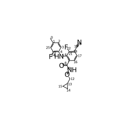 Cc1ccc(Nc2c(C(=O)NOCC3CC3)ccc(C#N)c2F)c(F)c1